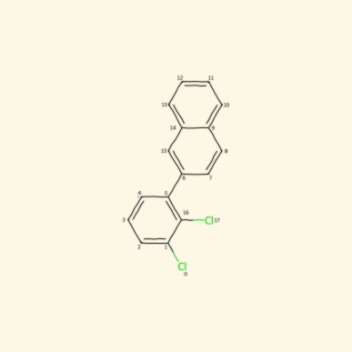 Clc1cc[c]c(-c2ccc3ccccc3c2)c1Cl